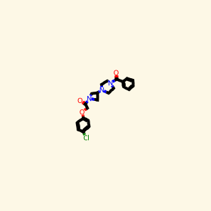 O=C(COc1ccc(Cl)cc1)N1CC(N2CCN(C(=O)c3ccccc3)CC2)C1